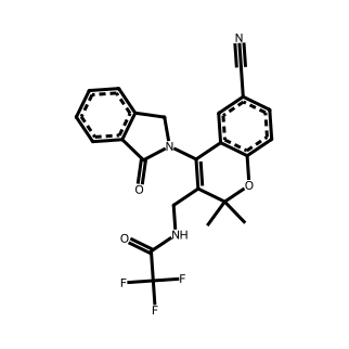 CC1(C)Oc2ccc(C#N)cc2C(N2Cc3ccccc3C2=O)=C1CNC(=O)C(F)(F)F